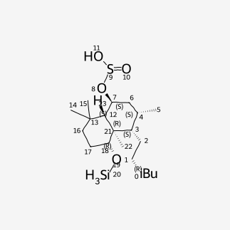 CC[C@@H](C)CC[C@H]1[C@@H](C)C[C@H](OS(=O)O)[C@H]2C(C)(C)CC[C@@H](O[SiH3])[C@]12C